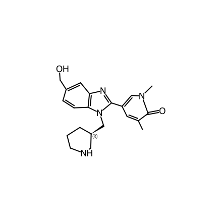 Cc1cc(-c2nc3cc(CO)ccc3n2C[C@@H]2CCCNC2)cn(C)c1=O